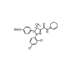 COc1ccc([C@H]2[C@@H](C)C(C(=O)NN3C=CCCC3)=NN2c2ccc(Cl)cc2Cl)cc1